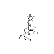 CN(C)c1ccc(/N=N/c2nccs2)c(C(=O)O)c1